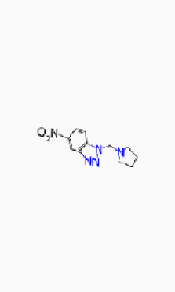 O=[N+]([O-])c1ccc2c(c1)nnn2CN1CCCC1